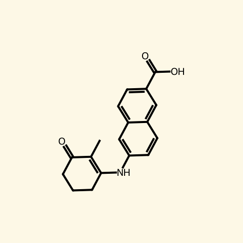 CC1=C(Nc2ccc3cc(C(=O)O)ccc3c2)CCCC1=O